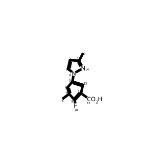 Cc1ccn(-c2cc(C)c(F)c(C(=O)O)c2)n1